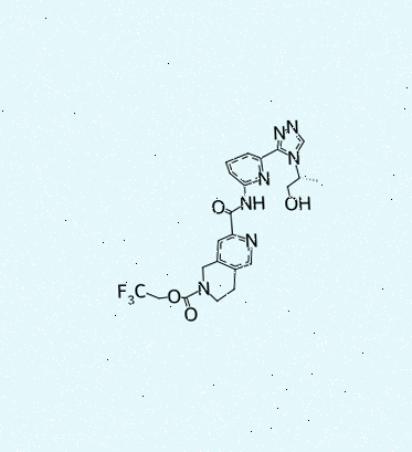 C[C@H](CO)n1cnnc1-c1cccc(NC(=O)c2cc3c(cn2)CCN(C(=O)OCC(F)(F)F)C3)n1